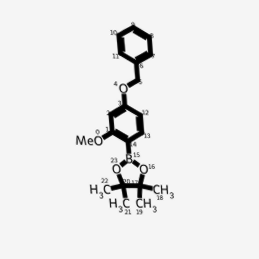 COc1cc(OCc2ccccc2)ccc1B1OC(C)(C)C(C)(C)O1